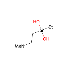 CC[Si](O)(O)CCNC